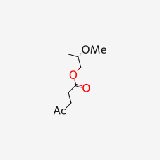 CO[C@@H](C)COC(=O)CCC(C)=O